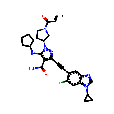 C=CC(=O)N1CC[C@H](n2nc(C#Cc3cc4ncn(C5CC5)c4cc3F)c(C(N)=O)c2NC2CCCC2)C1